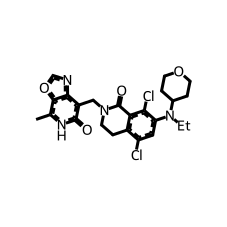 CCN(c1cc(Cl)c2c(c1Cl)C(=O)N(Cc1c(=O)[nH]c(C)c3ocnc13)CC2)C1CCOCC1